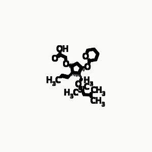 CC=C[C@@H]1[C@@H](CO[Si](C)(C)CC(C)C)[C@H](OC2CCCCO2)C[C@@H]1OCC(=O)O